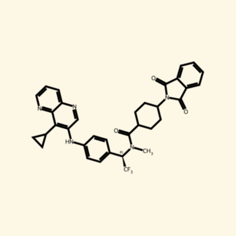 CN(C(=O)C1CCC(N2C(=O)c3ccccc3C2=O)CC1)[C@H](c1ccc(Nc2cnc3cccnc3c2C2CC2)cc1)C(F)(F)F